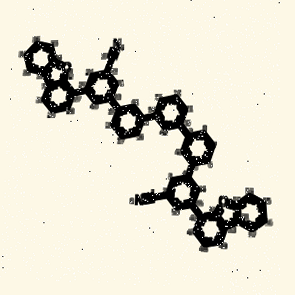 N#Cc1cc(-c2cccc(-c3cccc(-c4cccc(-c5cc(C#N)cc(-c6cccc7c6oc6ccccc67)c5)c4)c3)c2)cc(-c2cccc3c2oc2ccccc23)c1